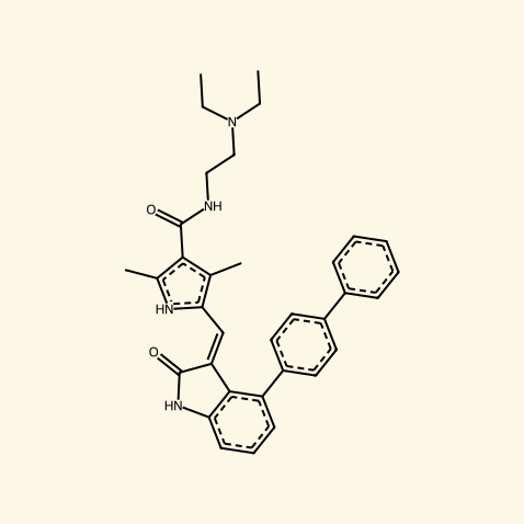 CCN(CC)CCNC(=O)c1c(C)[nH]c(/C=C2\C(=O)Nc3cccc(-c4ccc(-c5ccccc5)cc4)c32)c1C